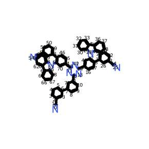 N#Cc1cccc(-c2cccc(-c3nc(-c4ccc(-c5cccc(C#N)c5)c(-n5c6ccccc6c6ccccc65)c4)nc(-c4ccc(-c5cccc(C#N)c5)c(-n5c6ccccc6c6ccccc65)c4)n3)c2)c1